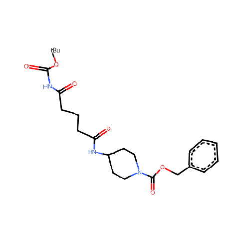 CC(C)(C)OC(=O)NC(=O)CCCC(=O)NC1CCN(C(=O)OCc2ccccc2)CC1